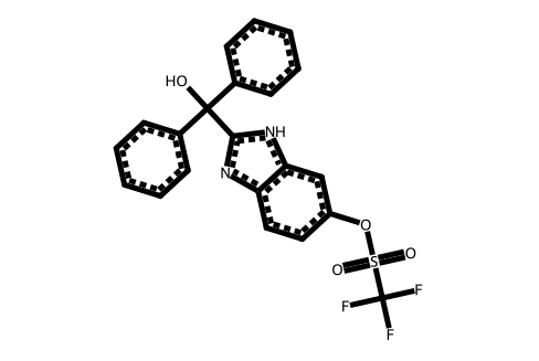 O=S(=O)(Oc1ccc2nc(C(O)(c3ccccc3)c3ccccc3)[nH]c2c1)C(F)(F)F